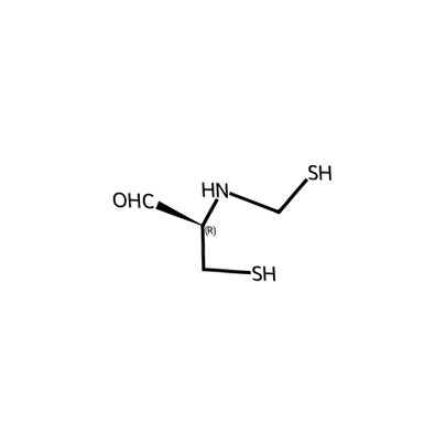 O=C[C@H](CS)NCS